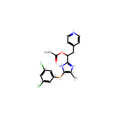 CC(=O)NC(=O)OC(Cc1ccncc1)c1nc(C(C)C)c(Sc2cc(Cl)cc(Cl)c2)[nH]1